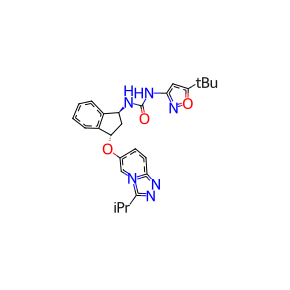 CC(C)c1nnc2ccc(O[C@H]3C[C@H](NC(=O)Nc4cc(C(C)(C)C)on4)c4ccccc43)cn12